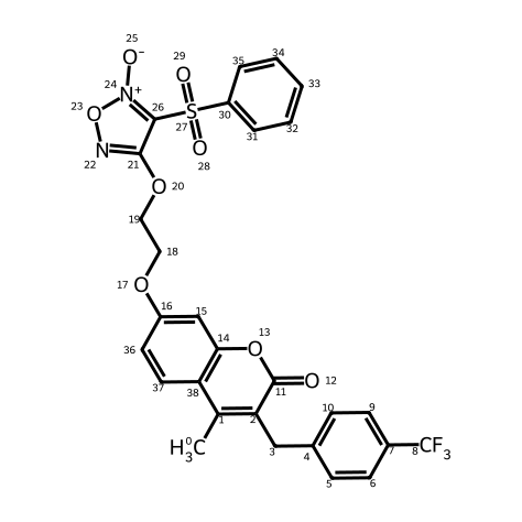 Cc1c(Cc2ccc(C(F)(F)F)cc2)c(=O)oc2cc(OCCOc3no[n+]([O-])c3S(=O)(=O)c3ccccc3)ccc12